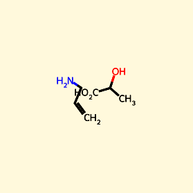 C=CCN.CC(O)C(=O)O